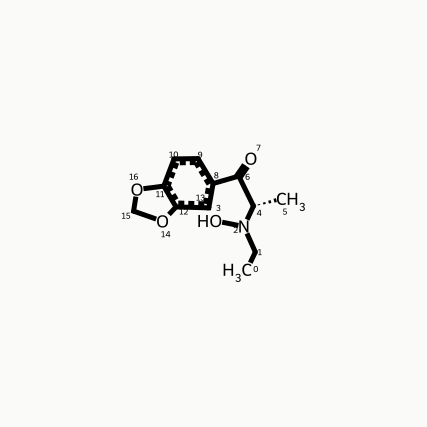 CCN(O)[C@@H](C)C(=O)c1ccc2c(c1)OCO2